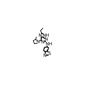 CCc1nc2c(N3CCCC3C)nc(Nc3ccc4ncsc4c3)nc2[nH]1